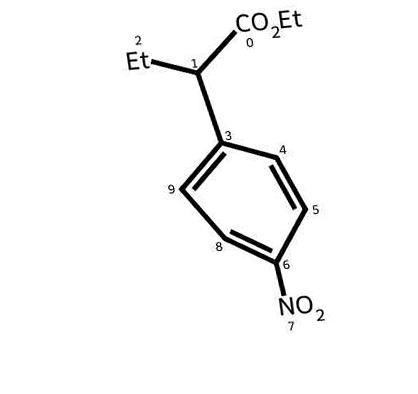 C[CH]OC(=O)C(CC)c1ccc([N+](=O)[O-])cc1